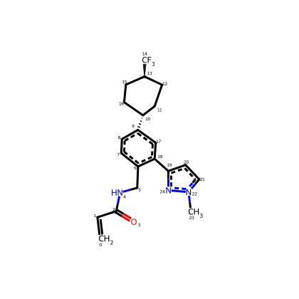 C=CC(=O)NCc1ccc([C@H]2CC[C@H](C(F)(F)F)CC2)cc1-c1ccn(C)n1